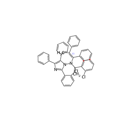 C=C(c1ccccc1Cl)N(/C(=C(\C)c1ccccc1)c1ccccc1)n1c(-c2ccccc2Cl)nc(-c2ccccc2)c1-c1ccccc1